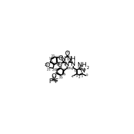 Cc1cc(C)c(CNc2nc(=O)n(Cc3ccc4c(c3)CCO4)c(=O)n2Cc2ccc(OC(F)F)cc2)c(N)n1